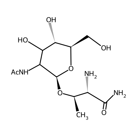 CC(=O)NC1C(O)[C@H](O)[C@@H](CO)O[C@H]1O[C@H](C)[C@H](N)C(N)=O